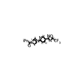 CC(C)C(=O)N1CC2CC1CN2c1ccc(-c2noc(C(F)(F)F)n2)cn1